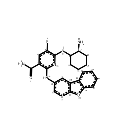 NC(=O)c1cc(F)c(NC2CCCC[C@@H]2N)nc1Nc1cnc2oc3ccccc3c2c1